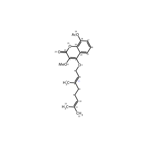 COc1c(OC/C=C(\C)CCC=C(C)C)c2cccc(OC(C)=O)c2oc1=O